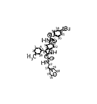 Cc1cccc(-c2c(OC(=O)NCCN3CCOCC3)[nH]c3ccc(NS(=O)(=O)c4ccc(C(C)(C)C)cc4)cc23)c1